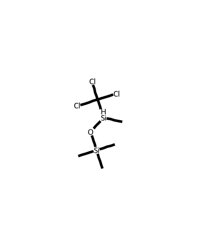 C[SiH](O[Si](C)(C)C)C(Cl)(Cl)Cl